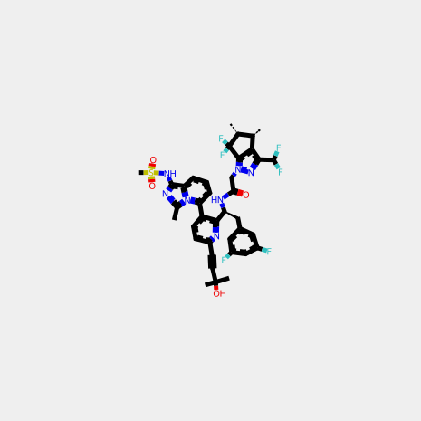 Cc1nc(NS(C)(=O)=O)c2cccc(-c3ccc(C#CC(C)(C)O)nc3[C@H](Cc3cc(F)cc(F)c3)NC(=O)Cn3nc(C(F)F)c4c3C(F)(F)[C@H](C)[C@@H]4C)n12